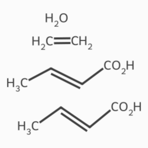 C/C=C/C(=O)O.C/C=C/C(=O)O.C=C.O